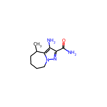 CC1CCCCn2nc(C(N)=O)c(N)c21